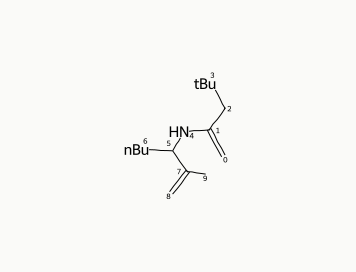 C=C(CC(C)(C)C)NC(CCCC)C(=C)C